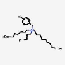 CCCCCCCCCCCCCCCCCC[N+](CCCCCCCCCCCCCCCC)(CCCC(C)C)Cc1ccc(CC)cc1